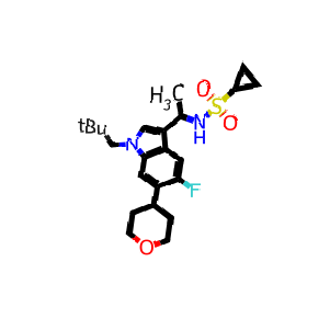 CC(NS(=O)(=O)C1CC1)c1cn(CC(C)(C)C)c2cc(C3CCOCC3)c(F)cc12